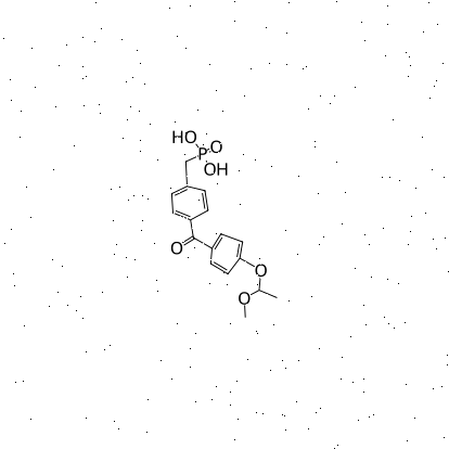 COC(C)Oc1ccc(C(=O)c2ccc(CP(=O)(O)O)cc2)cc1